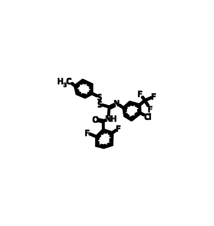 Cc1ccc(SSC(=Nc2ccc(Cl)c(C(F)(F)F)c2)NC(=O)c2c(F)cccc2F)cc1